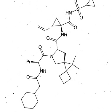 C=C[C@@H]1C[C@]1(NC(=O)[C@@H]1C[C@@]2(CN1C(=O)[C@@H](NC(=O)CC1CCCCC1)C(C)C)C(C)(C)C21CCC1)C(=O)NS(=O)(=O)C1CC1